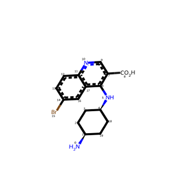 N[C@H]1CC[C@@H](Nc2c(C(=O)O)cnc3ccc(Br)cc23)CC1